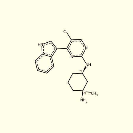 C[C@]1(N)CCC[C@@H](Nc2ncc(Cl)c(-c3c[nH]c4ccccc34)n2)C1